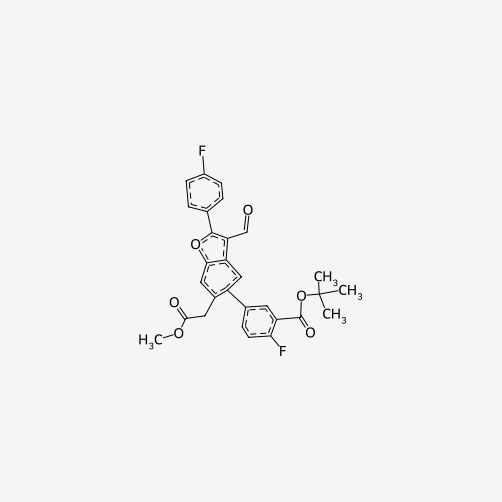 COC(=O)Cc1cc2oc(-c3ccc(F)cc3)c(C=O)c2cc1-c1ccc(F)c(C(=O)OC(C)(C)C)c1